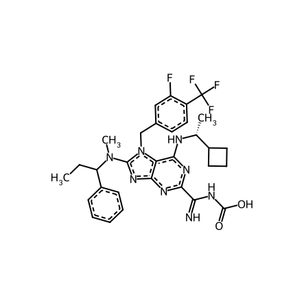 CCC(c1ccccc1)N(C)c1nc2nc(C(=N)NC(=O)O)nc(N[C@H](C)C3CCC3)c2n1Cc1ccc(C(F)(F)F)c(F)c1